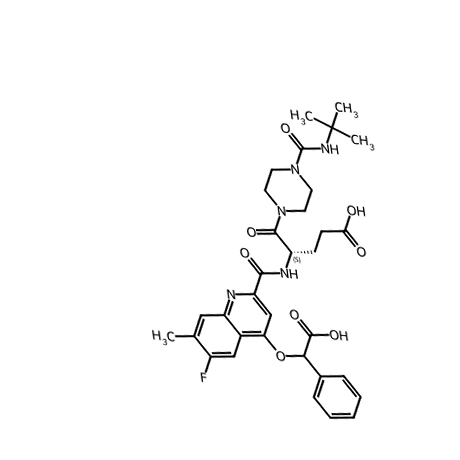 Cc1cc2nc(C(=O)N[C@@H](CCC(=O)O)C(=O)N3CCN(C(=O)NC(C)(C)C)CC3)cc(OC(C(=O)O)c3ccccc3)c2cc1F